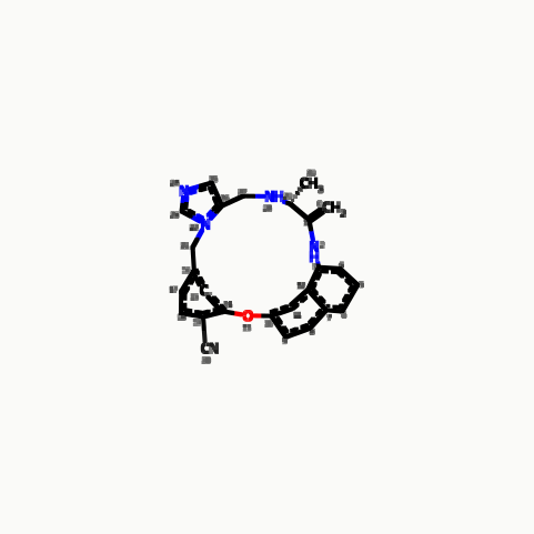 C=C1Nc2cccc3ccc(cc23)Oc2cc(ccc2C#N)Cn2cncc2CN[C@@H]1C